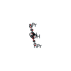 CCC[C@H]1CC[C@H](c2ccc(-c3ccc4c(-c5c(O)ccc6cc(-c7ccc([C@H]8CC[C@H](CCC)CC8)cc7)ccc56)c(O)ccc4c3)cc2)CC1